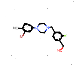 N#Cc1ccc(N2CCN(Cc3ccc(CO)c(F)c3)CC2)cc1Br